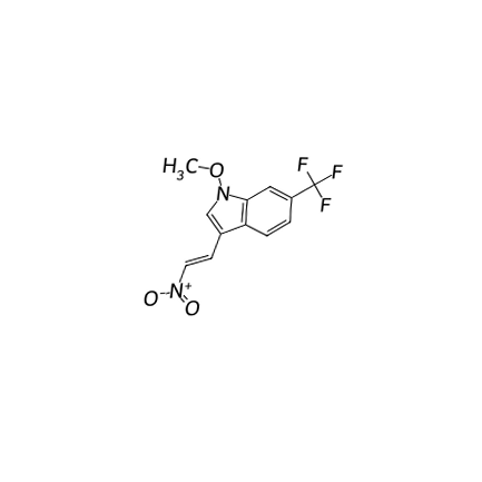 COn1cc(C=C[N+](=O)[O-])c2ccc(C(F)(F)F)cc21